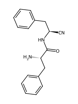 N#C[C@H](Cc1ccccc1)NC(=O)[C@@H](N)Cc1ccccc1